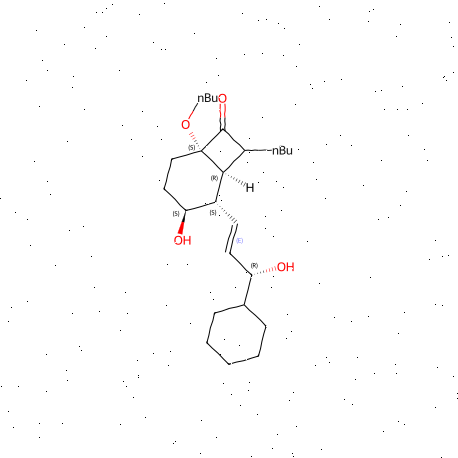 CCCCO[C@@]12CC[C@H](O)[C@@H](/C=C/[C@H](O)C3CCCCC3)[C@@H]1C(CCCC)C2=O